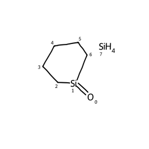 O=[Si]1CCCCC1.[SiH4]